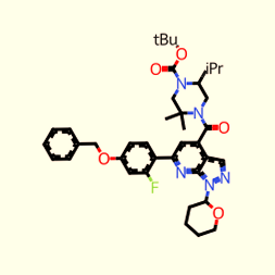 CC(C)C1CN(C(=O)c2cc(-c3ccc(OCc4ccccc4)cc3F)nc3c2cnn3C2CCCCO2)C(C)(C)CN1C(=O)OC(C)(C)C